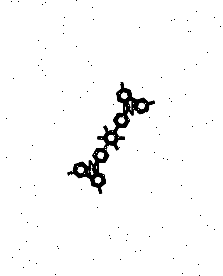 Cc1ccc2c(c1)c1cc(C)ccc1n2-c1ccc(-c2c(C)c(C)c(-c3ccc(-n4c5ccc(C)cc5c5cc(C)ccc54)cc3)c(C)c2C)cc1